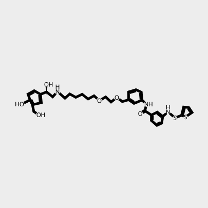 O=C(Nc1cccc(COCCOCCCCCCNC[C@H](O)c2ccc(O)c(CO)c2)c1)c1cccc(NSc2cccs2)c1